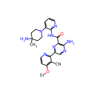 CCOc1ccnc(-c2cnc(N)c(C(=O)Nc3ncccc3N3CCC(C)(N)CC3)n2)c1C#N